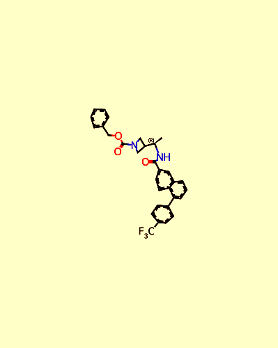 C[C@@H](NC(=O)c1ccc2c(-c3ccc(C(F)(F)F)cc3)cccc2c1)C1CN(C(=O)OCc2ccccc2)C1